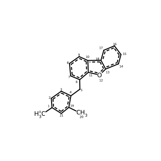 Cc1ccc(Cc2cccc3c2oc2ccccc23)c(C)c1